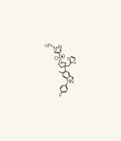 CCCn1cc(S(=O)(=O)N2CCC(Cc3nccs3)(c3cc4cnn(-c5ccc(F)cc5)c4cc3C)C2)cn1